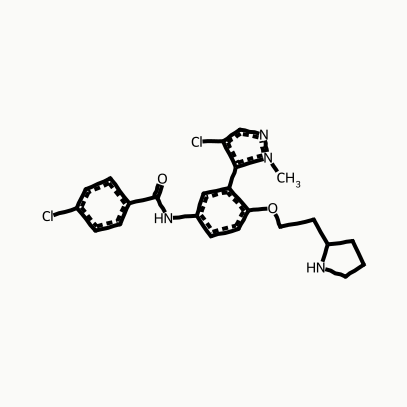 Cn1ncc(Cl)c1-c1cc(NC(=O)c2ccc(Cl)cc2)ccc1OCCC1CCCN1